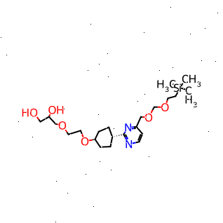 C[Si](C)(C)CCOCOCc1ccnc([C@H]2CC[C@H](OCCOCC(O)CO)CC2)n1